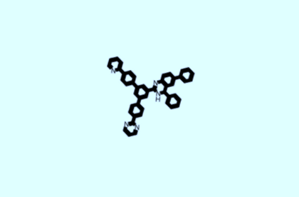 c1ccc(-c2ccc3c(c2)C(c2ccccc2)NC(c2cc(-c4ccc(-c5ccccn5)cc4)cc(-c4ccc(-c5ncccn5)cc4)c2)=N3)cc1